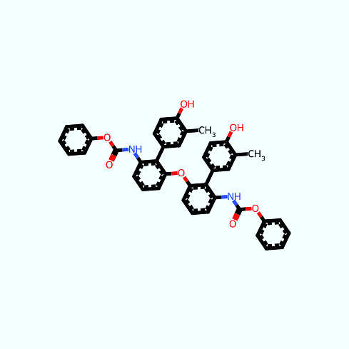 Cc1cc(-c2c(NC(=O)Oc3ccccc3)cccc2Oc2cccc(NC(=O)Oc3ccccc3)c2-c2ccc(O)c(C)c2)ccc1O